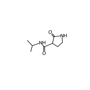 CC(C)NC(=O)C1CCNC1=O